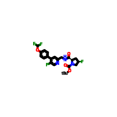 CC(C)(C)OC(=O)N1C[C@H](F)C[C@H]1C(=O)NCc1cc(-c2ccc(OC(F)F)cc2)c(F)cn1